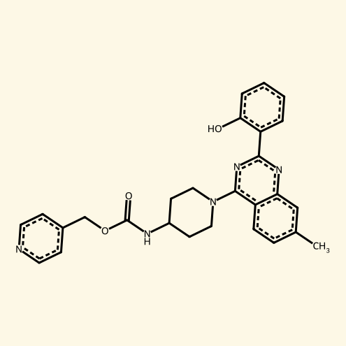 Cc1ccc2c(N3CCC(NC(=O)OCc4ccncc4)CC3)nc(-c3ccccc3O)nc2c1